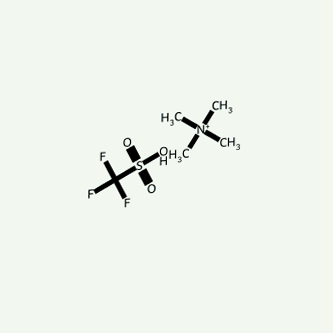 C[N+](C)(C)C.O=S(=O)(O)C(F)(F)F